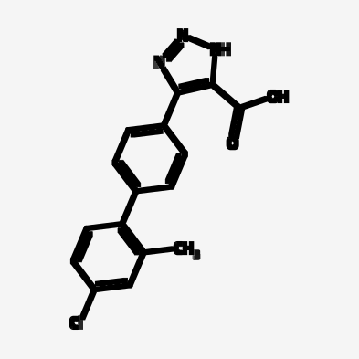 Cc1cc(Cl)ccc1-c1ccc(-c2nn[nH]c2C(=O)O)cc1